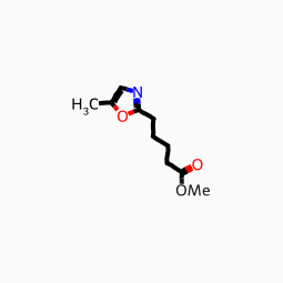 COC(=O)CCCCc1ncc(C)o1